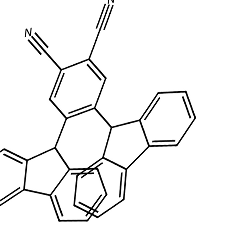 N#Cc1cc(C2c3ccccc3-c3ccccc32)c(C2c3ccccc3-c3ccccc32)cc1C#N